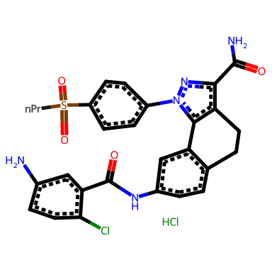 CCCS(=O)(=O)c1ccc(-n2nc(C(N)=O)c3c2-c2cc(NC(=O)c4cc(N)ccc4Cl)ccc2CC3)cc1.Cl